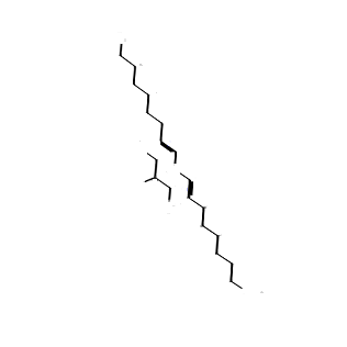 CCCCCCCCCCCCCCCC/C=C/O/C=C/CCCCCCCCCCCCCCCC.OCC(O)CO